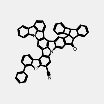 N#Cc1cc2c(c3cc4c(c5cccc6c7ccccc7n4c65)c4c5cc6c(cc5n2c34)C(=O)C2c3ccccc3C3c4ccccc4C623)c2c1oc1c(-c3ccccc3)cccc12